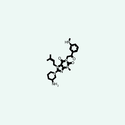 CNc1cccc(C(=O)Cn2c(=O)c3c(nc(N4CCCC(N)C4)n3CC=C(C)C)n(C)c2=O)c1